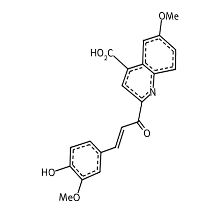 COc1ccc2nc(C(=O)C=Cc3ccc(O)c(OC)c3)cc(C(=O)O)c2c1